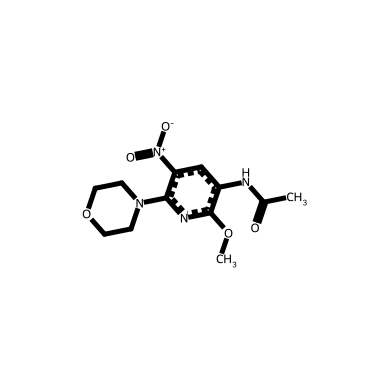 COc1nc(N2CCOCC2)c([N+](=O)[O-])cc1NC(C)=O